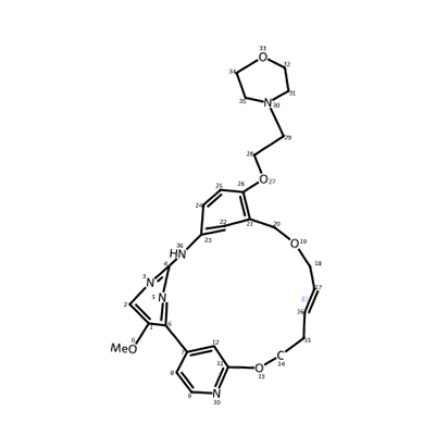 COc1cnc2nc1-c1ccnc(c1)OCC/C=C/COCc1cc(ccc1OCCN1CCOCC1)N2